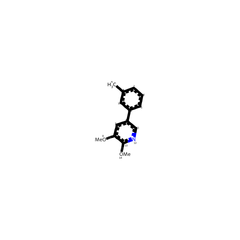 COc1cc(-c2cccc(C)c2)cnc1OC